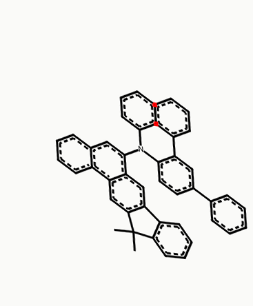 CC1(C)c2ccccc2-c2cc3c(N(c4ccccc4)c4ccc(-c5ccccc5)cc4-c4ccccc4)cc4ccccc4c3cc21